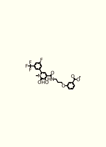 COC(=O)c1cccc(OCCCNC(=O)c2cc(-c3cc(F)cc(C(F)(F)F)c3)n(C)c(=O)c2O)c1